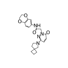 O=C(Cn1nc(N2CCC3(CCC3)C2)ccc1=O)Nc1ccc2c(c1)OCCO2